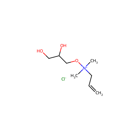 C=CC[N+](C)(C)OCC(O)CO.[Cl-]